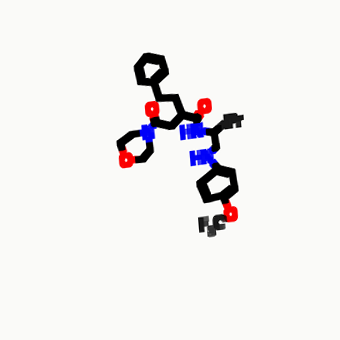 CC(C)C(CNc1ccc(OC(F)(F)F)cc1)NC(=O)C(CCc1ccccc1)CC(=O)N1CCOCC1